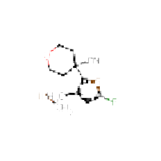 CS.Cc1cc(F)sc1C1(C#N)CCOCC1